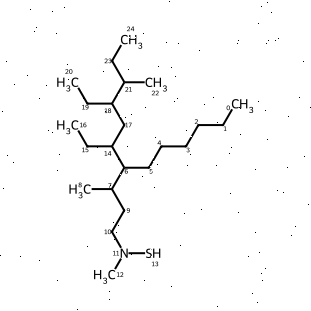 CCCCCCC(C(C)CCN(C)S)C(CC)CC(CC)C(C)CC